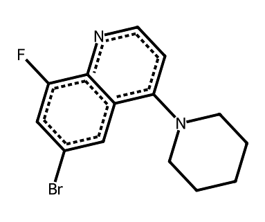 Fc1cc(Br)cc2c(N3CCCCC3)ccnc12